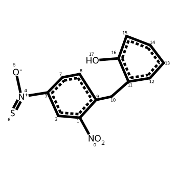 O=[N+]([O-])c1cc([N+]([O-])=S)ccc1Cc1ccccc1O